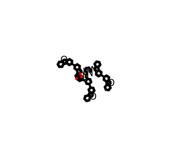 c1ccc2c(c1)oc1ccc(-c3ccc4c(c3)c3ccccc3n4-c3ccc(-n4c5ccccc5c5cc(-c6ccc7oc8ccccc8c7c6)ccc54)c(-n4c5ccccc5c5cc(-c6ccc7oc8ccccc8c7c6)ccc54)n3)cc12